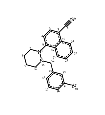 N#Cc1ccc(N2CCCCN2Cc2cccc(Br)c2)c2ccccc12